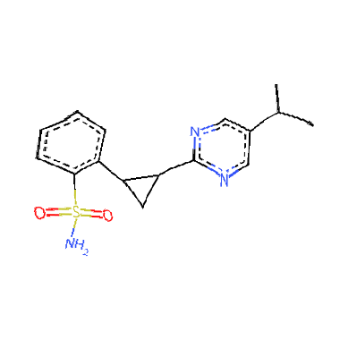 CC(C)c1cnc(C2CC2c2ccccc2S(N)(=O)=O)nc1